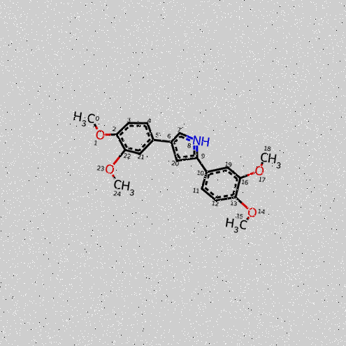 COc1ccc(-c2c[nH]c(-c3ccc(OC)c(OC)c3)c2)cc1OC